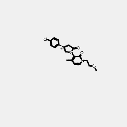 COCCn1ccc(C)c(N2C[C@@H](c3ccc(Cl)cc3)CC2=O)c1=O